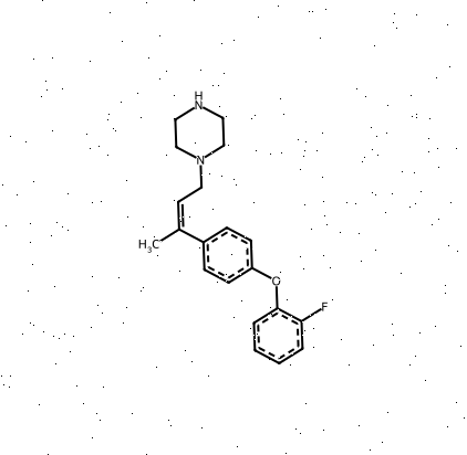 CC(=CCN1CCNCC1)c1ccc(Oc2ccccc2F)cc1